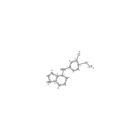 FC(F)(F)Oc1ccc(Nc2ncnc3[nH]cnc23)cc1Cl